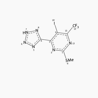 CSc1nc(-c2nn[nH]n2)c(I)c(C(F)(F)F)n1